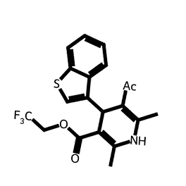 CC(=O)C1=C(C)NC(C)=C(C(=O)OCC(F)(F)F)C1c1csc2ccccc12